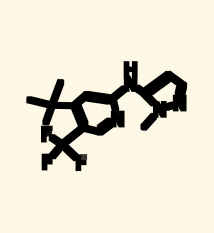 Cn1nccc1Nc1cc(C(C)(C)C)c(C(F)(F)F)cn1